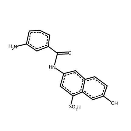 Nc1cccc(C(=O)Nc2cc(S(=O)(=O)O)c3cc(O)ccc3c2)c1